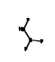 FBB(F)F